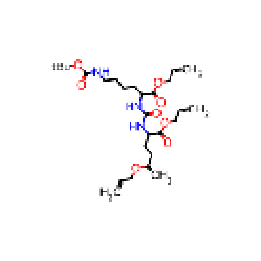 C=CCOC(=C)CCC(NC(=O)NC(CCCCNC(=O)OC(C)(C)C)C(=O)OCC=C)C(=O)OCC=C